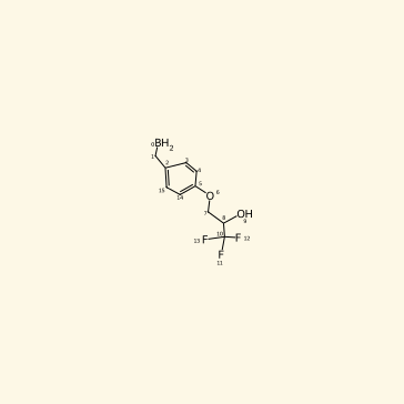 BCc1ccc(OCC(O)C(F)(F)F)cc1